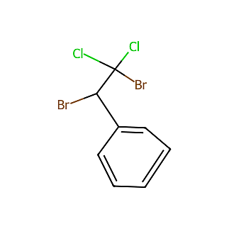 ClC(Cl)(Br)C(Br)c1ccccc1